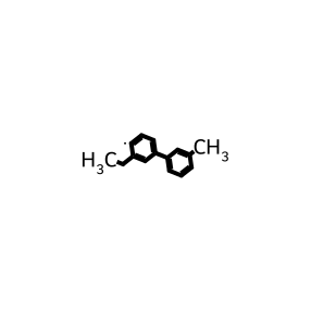 CCc1[c]ccc(-c2cccc(C)c2)c1